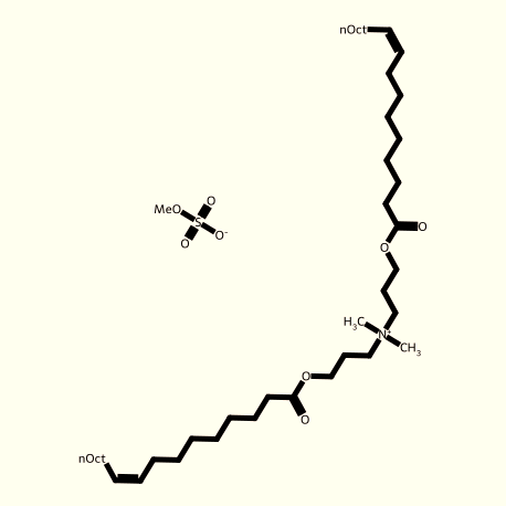 CCCCCCCC/C=C\CCCCCCCC(=O)OCCC[N+](C)(C)CCCOC(=O)CCCCCCC/C=C\CCCCCCCC.COS(=O)(=O)[O-]